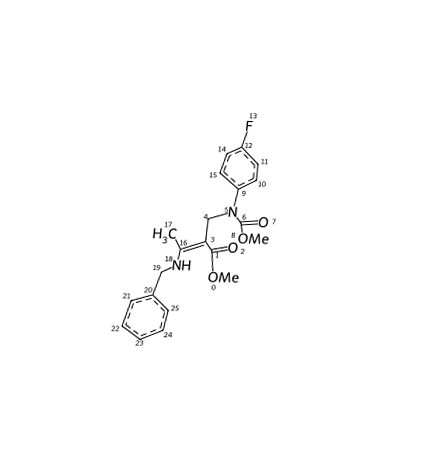 COC(=O)/C(CN(C(=O)OC)c1ccc(F)cc1)=C(/C)NCc1ccccc1